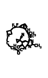 Cc1nc2c3cc(C4(C#N)CC4)c(=O)n(c3n1)CC(=O)NCCCCN1CC(C1)CC(F)(F)c1cccc(c1F)[C@@H](C)N2